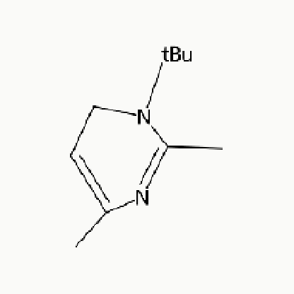 CC1=CCN(C(C)(C)C)C(C)=N1